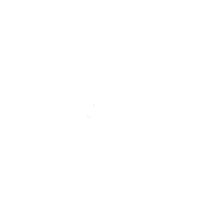 C=O.O=C(O)c1cccnn1